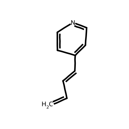 C=CC=Cc1ccncc1